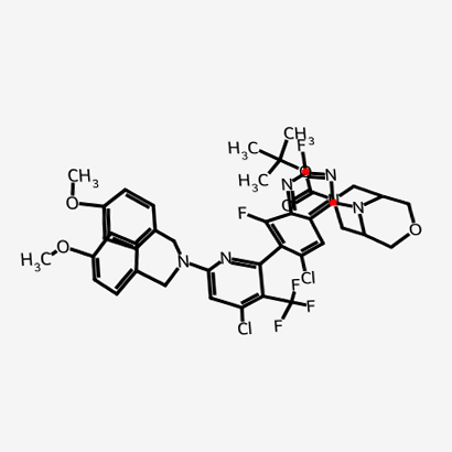 COc1ccc(CN(Cc2ccc(OC)cc2)c2cc(Cl)c(C(F)(F)F)c(-c3c(Cl)cc4c(N5C6COCC5CN(C(=O)OC(C)(C)C)C6)nc(F)nc4c3F)n2)cc1